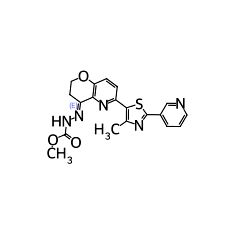 COC(=O)N/N=C1\CCOc2ccc(-c3sc(-c4cccnc4)nc3C)nc21